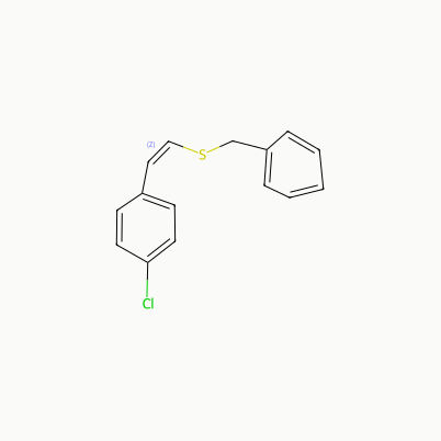 Clc1ccc(/C=C\SCc2ccccc2)cc1